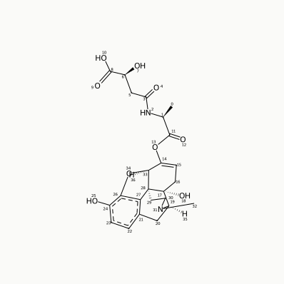 C[C@H](NC(=O)C[C@H](O)C(=O)O)C(=O)OC1=CC[C@@]2(O)[C@H]3Cc4ccc(O)c5c4[C@@]2(CCN3C)[C@H]1O5